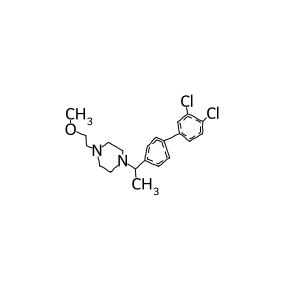 COCCN1CCN(C(C)c2ccc(-c3ccc(Cl)c(Cl)c3)cc2)CC1